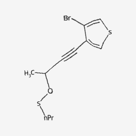 CCCSOC(C)C#Cc1cscc1Br